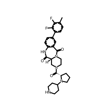 Cc1ccc(-c2ccc3c(c2)C(=O)N2CCN(C(=O)[C@@H]4CCCN4C4CCNCC4)C[C@@H]2C(=O)N3)c(F)c1F